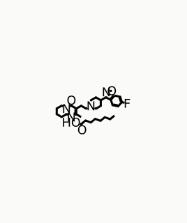 CCCCCCCC(=O)O.Cc1nc2n(c(=O)c1CCN1CCC(c3noc4cc(F)ccc34)CC1)CCCC2